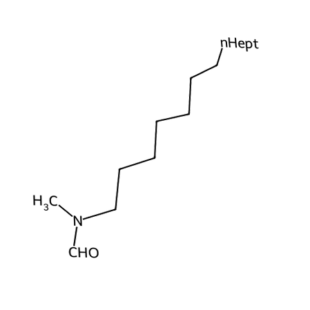 CCCCCCCCCCCCCCN(C)C=O